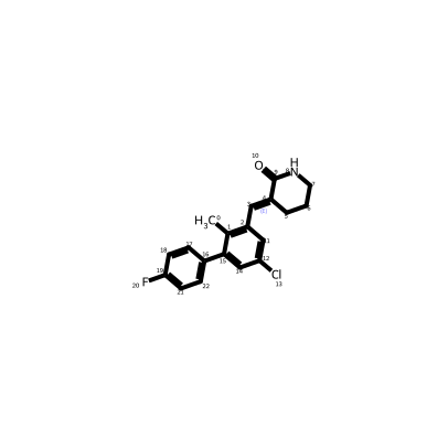 Cc1c(/C=C2\CCCNC2=O)cc(Cl)cc1-c1ccc(F)cc1